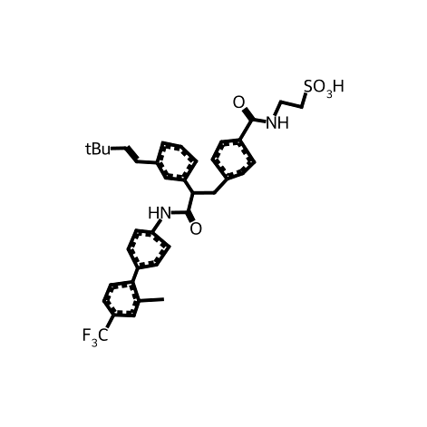 Cc1cc(C(F)(F)F)ccc1-c1ccc(NC(=O)C(Cc2ccc(C(=O)NCCS(=O)(=O)O)cc2)c2cccc(/C=C/C(C)(C)C)c2)cc1